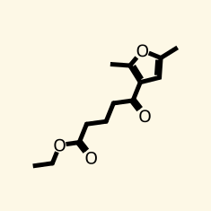 CCOC(=O)CCCC(=O)c1cc(C)oc1C